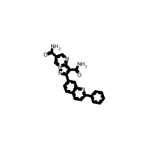 NC(=O)c1cnc2c(C(N)=O)c(-c3ccc4ccc(-c5ccccc5)nc4c3)nn2c1